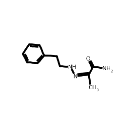 CC(=NNCCc1ccccc1)C(N)=O